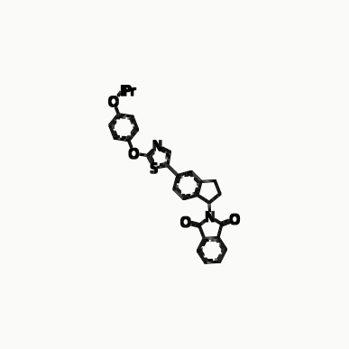 CC(C)Oc1ccc(Oc2ncc(-c3ccc4c(c3)CCC4N3C(=O)c4ccccc4C3=O)s2)cc1